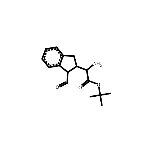 CC(C)(C)OC(=O)C(N)C1Cc2ccccc2C1C=O